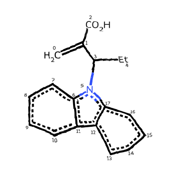 C=C(C(=O)O)C(CC)n1c2ccccc2c2ccccc21